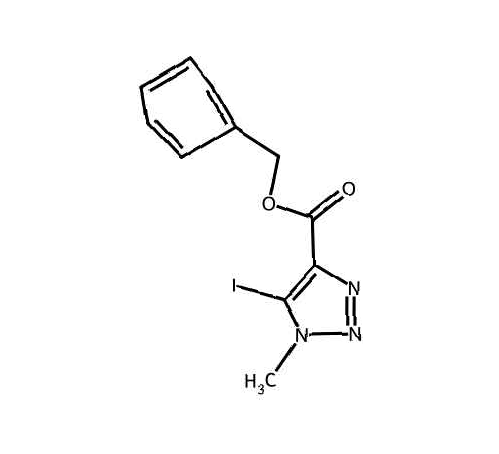 Cn1nnc(C(=O)OCc2ccccc2)c1I